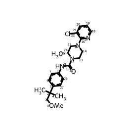 COCC(C)(C)c1ccc(NC(=O)N2CCN(c3ncccc3Cl)C[C@H]2C)cc1